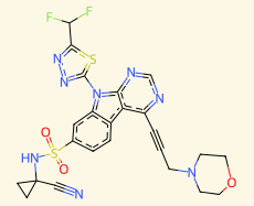 N#CC1(NS(=O)(=O)c2ccc3c4c(C#CCN5CCOCC5)ncnc4n(-c4nnc(C(F)F)s4)c3c2)CC1